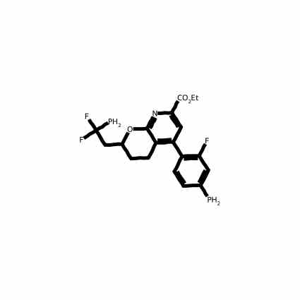 CCOC(=O)c1cc(-c2ccc(P)cc2F)c2c(n1)OC(CC(F)(F)P)CC2